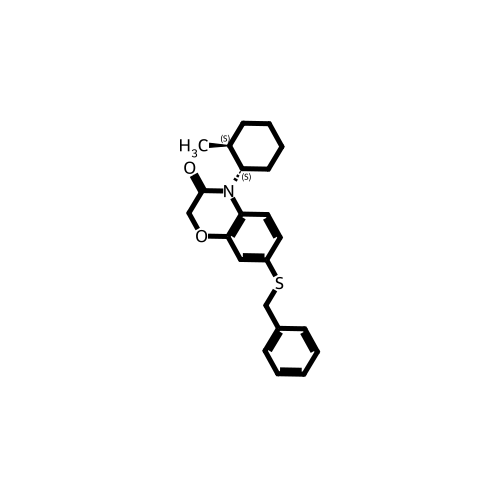 C[C@H]1CCCC[C@@H]1N1C(=O)COc2cc(SCc3ccccc3)ccc21